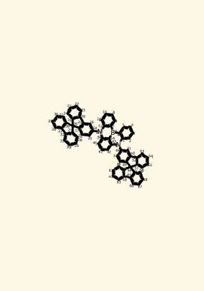 c1ccc2c(c1)B1c3ccccc3N(c3ccc4c(c3)-c3ccccc3C43c4ccccc4-c4ccccc43)c3cccc(c31)N2c1ccc2c(c1)-c1ccccc1C21c2ccccc2-c2ccccc21